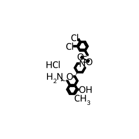 Cc1ccc2c(c1O)C[C@@H](C1CCN(S(=O)(=O)Cc3ccc(Cl)c(Cl)c3)CC1)O[C@H]2CN.Cl